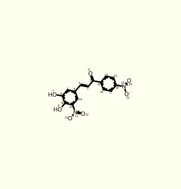 O=C(C=Cc1cc(O)c(O)c([N+](=O)[O-])c1)c1ccc([N+](=O)[O-])cc1